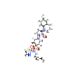 C=CCN(c1nccs1)S(=O)(=O)c1ccc(N2CC[C@H](N3CCCc4cc(Cl)ccc43)C2=O)cc1